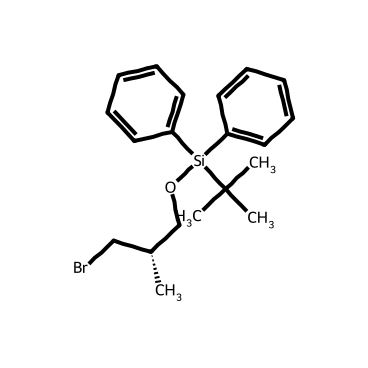 C[C@H](CBr)CO[Si](c1ccccc1)(c1ccccc1)C(C)(C)C